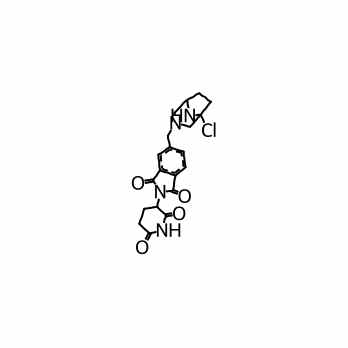 O=C1CCC(N2C(=O)c3ccc(CN4CC5CCC(Cl)(C4)N5)cc3C2=O)C(=O)N1